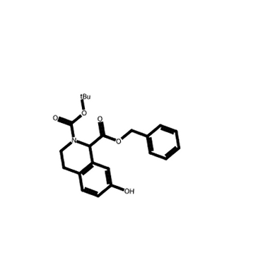 CC(C)(C)OC(=O)N1CCc2ccc(O)cc2C1C(=O)OCc1ccccc1